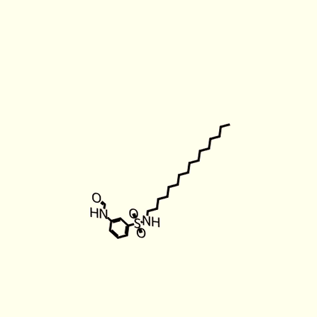 CCCCCCCCCCCCCCCCNS(=O)(=O)c1cccc(NC=O)c1